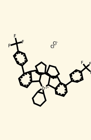 FC(F)(F)c1ccc(-c2cccc3c2C=C(C2CCCC2)[CH]3[Zr+2]2([CH]3C(C4CCCC4)=Cc4c(-c5ccc(C(F)(F)F)cc5)cccc43)[CH]3CCCC[CH]32)cc1.[Cl-].[Cl-]